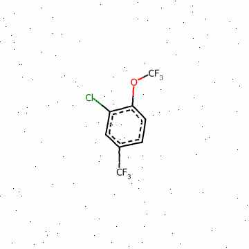 FC(F)(F)Oc1ccc(C(F)(F)F)cc1Cl